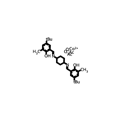 CC(=O)[O-].CC(=O)[O-].Cc1cc(C(C)(C)C)cc(C=NC2CCC(N=Cc3cc(C(C)(C)C)cc(C)c3O)CC2)c1O.[Co+2]